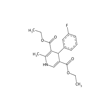 CCOC(=O)C1=CNC(C)=C(C(=O)OCC)C1c1cccc(F)c1